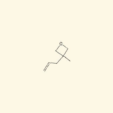 C=CCC1(C)COC1